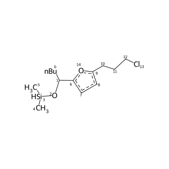 CCCCC(O[SiH](C)C)c1ccc(CCCCl)o1